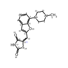 CN1CCN(c2cncc3cc(/C=C4/SC(=O)NC4=O)oc23)CC1